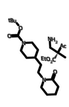 CC(C)(C)OC(=O)N1CCC(CCN2CCCCC2=O)CC1.CCOC(=O)[C@](C)(CN)C(C)=O